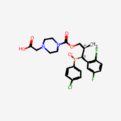 C[C@H](COC(=O)N1CCN(CC(=O)O)CC1)[C@@H](c1cc(F)ccc1F)[S+]([O-])c1ccc(Cl)cc1